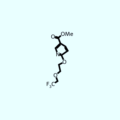 COC(=O)c1ccc(OCCOCC(F)(F)F)nc1